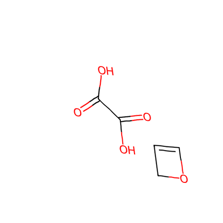 C1=COC1.O=C(O)C(=O)O